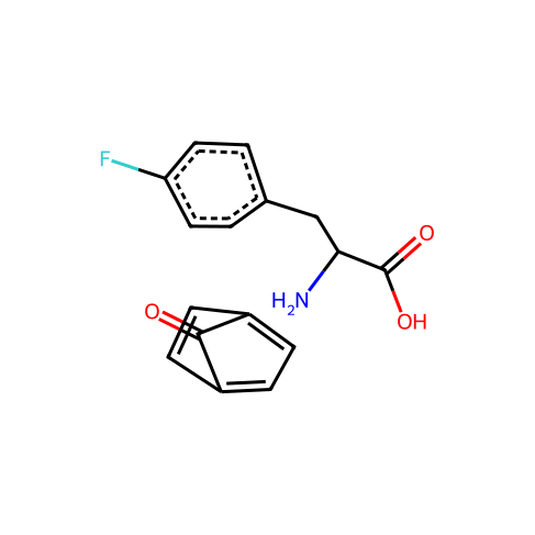 NC(Cc1ccc(F)cc1)C(=O)O.O=C1C2=CC=C1C=C2